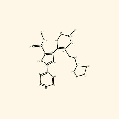 COC(=O)c1sc(-c2ccccc2)cc1C1=C(CCC2CCCC2)CN(C)CC1